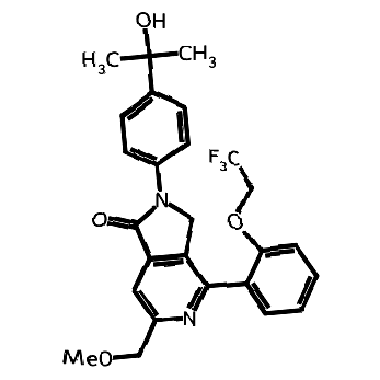 COCc1cc2c(c(-c3ccccc3OCC(F)(F)F)n1)CN(c1ccc(C(C)(C)O)cc1)C2=O